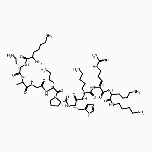 CC(NC(=O)[C@H](CCN)NC(=O)C(N)CCCCN)C(=O)NCC(=O)N[C@H](CCCN)C(=O)N1CCC[C@H]1C(=O)N[C@@H](Cc1cnc[nH]1)C(=O)N[C@@H](CCCCN)C(=O)N/C(=C\CCNC(=N)N)C(=O)NC(CCCCN)C(=O)NCCCCN